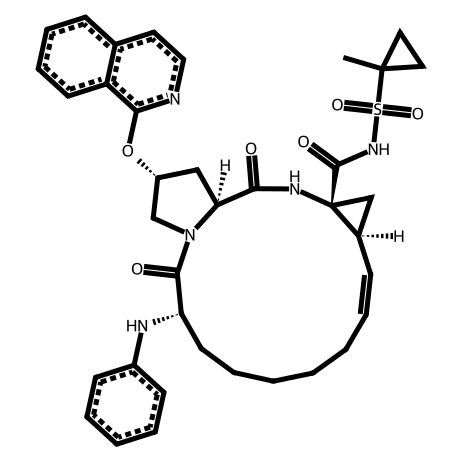 CC1(S(=O)(=O)NC(=O)[C@@]23C[C@H]2/C=C\CCCCC[C@H](Nc2ccccc2)C(=O)N2C[C@H](Oc4nccc5ccccc45)C[C@H]2C(=O)N3)CC1